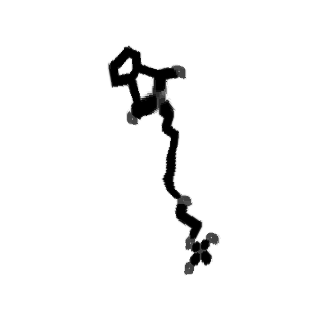 CS(=O)(=O)OCCOCCCCCCN1C(=O)c2ccccc2C1=O